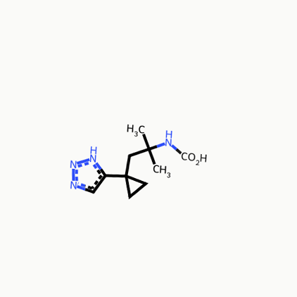 CC(C)(CC1(c2cnn[nH]2)CC1)NC(=O)O